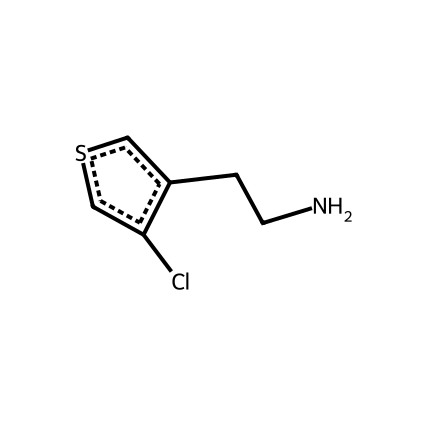 NCCc1cscc1Cl